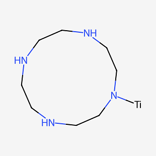 [Ti][N]1CCNCCNCCNCC1